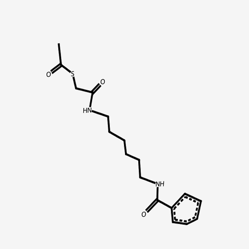 CC(=O)SCC(=O)NCCCCCCNC(=O)c1ccccc1